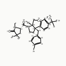 CN1C(=O)C(F)(F)C[C@H]1C(=O)N1CC[C@@]2(Cc3ccc(F)cc3)c3ccc(C(C)(F)C(F)(F)F)cc3CC[C@@H]12